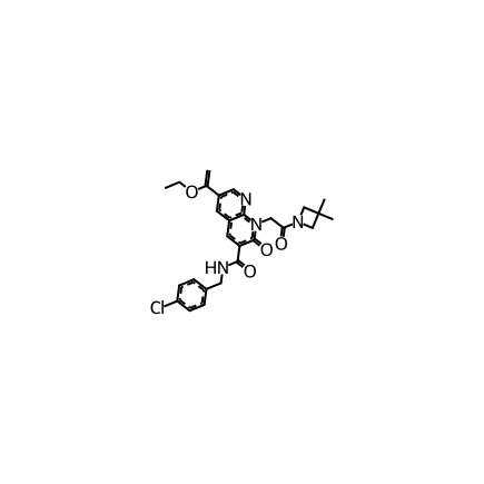 C=C(OCC)c1cnc2c(c1)cc(C(=O)NCc1ccc(Cl)cc1)c(=O)n2CC(=O)N1CC(C)(C)C1